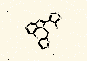 Nc1nonc1-c1nc2cncc(F)c2n1Cc1cccnn1